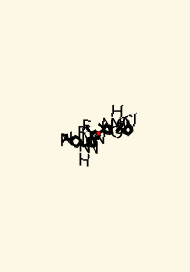 Cc1nc(NS(=O)(=O)c2ccccc2Cl)ccc1-c1cc(C(F)F)c2nc(NC3CCC(N(C)C)CC3)ncc2n1